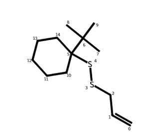 C=CCSSC1(C(C)(C)C)CCCCC1